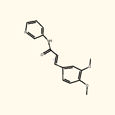 COc1ccc(/C=C/C(=O)Nc2cccnc2)cc1OC